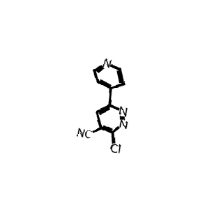 N#Cc1cc(-c2ccncc2)nnc1Cl